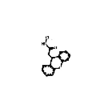 CNC(=O)CC1c2ccccc2Oc2ccccc21